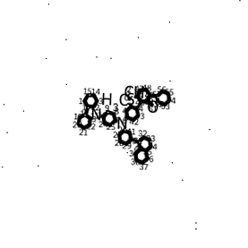 CS1(C)c2cc(N(c3ccc(-n4c5ccccc5c5ccccc54)cc3)c3cccc(-c4cccc5ccccc45)c3)ccc2-c2c1ccc1c2oc2ccccc21